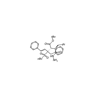 CCCCS(=O)(=O)C(/C=C/c1ccccc1)(Cc1ccccc1)[C@H](C(=O)OC(C)(C)C)[C@@H](CC(C)C)C(=O)NN